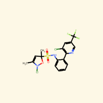 CC1=CC(C)(S(=O)(=O)Nc2ccccc2-c2ncc(C(F)(F)F)cc2Cl)ON1Cl